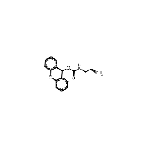 C=CCNC(=O)OC1c2ccccc2Oc2ccccc21